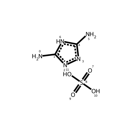 Nc1nnc(N)[nH]1.O=S(=O)(O)O